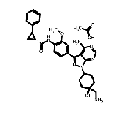 CC(=O)O.COc1cc(-c2nn(C3CCC(O)(CN)CC3)c3ncnc(N)c23)ccc1NC(=O)[C@@H]1C[C@H]1c1ccccc1